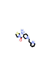 N[C@@H]1CCN(CCc2ccccn2)C[C@@H]1C(=O)N1CCSC1